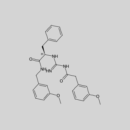 COc1cccc(CNC(=O)[C@@H](Cc2ccccc2)NC(=N)NC(=O)Cc2cccc(OC)c2)c1